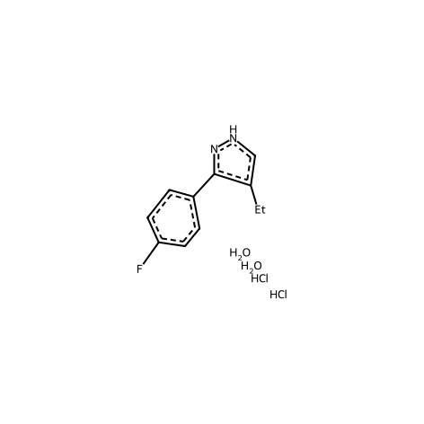 CCc1c[nH]nc1-c1ccc(F)cc1.Cl.Cl.O.O